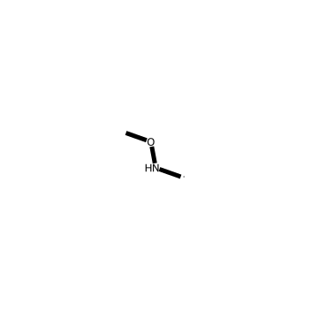 [CH2]NOC